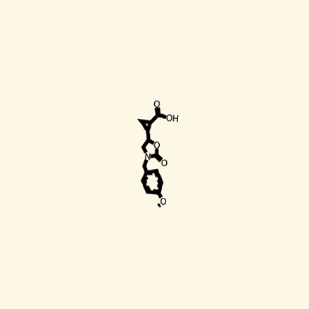 COc1ccc(CN2CC(C3CC3C(=O)O)OC2=O)cc1